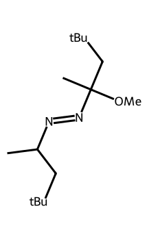 COC(C)(CC(C)(C)C)N=NC(C)CC(C)(C)C